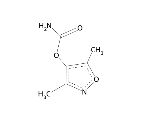 Cc1noc(C)c1OC(N)=O